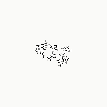 C=C(C)C(=O)Oc1c(Cc2cc(C)cc(C(C)(C)C)c2O)cc(C)cc1Cc1cc(C)cc(C(C)(C)C)c1O.C=C(C)C(=O)Oc1ccccc1Cc1cc(C(C)(C)C)c(O)c(C(C)(C)C)c1.C=CC(=O)Oc1c(C(C)c2cc(C(C)(C)CC)cc(C(C)(C)CC)c2O)cc(C(C)(C)CC)cc1C(C)(C)CC